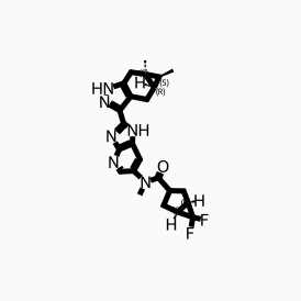 C[C@H]1[C@H]2Cc3c(-c4nc5ncc(N(C)C(=O)C6C[C@@H]7[C@H](C6)C7(F)F)cc5[nH]4)n[nH]c3C[C@]21C